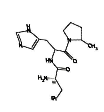 CC(C)C[C@H](N)C(=O)NC(Cc1cnc[nH]1)C(=O)N1CCCC1C